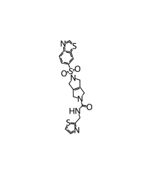 O=C(NCc1nccs1)N1CC2=C(C1)CN(S(=O)(=O)c1ccc3ncsc3c1)C2